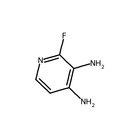 Nc1ccnc(F)c1N